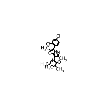 CCCN(C(=O)C(C)C)c1c(C)nn2c(-c3ccc(Cl)cc3Cl)c(C)oc12